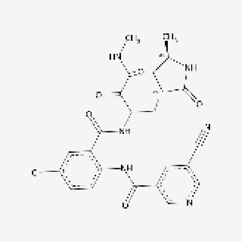 CNC(=O)C(=O)C(C[C@@H]1C[C@@H](C)NC1=O)NC(=O)c1cc(Cl)ccc1NC(=O)c1cncc(C#N)c1